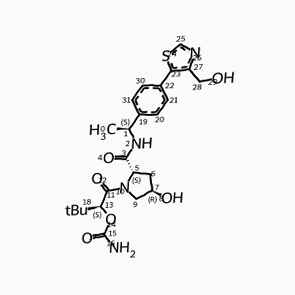 C[C@H](NC(=O)[C@@H]1C[C@@H](O)CN1C(=O)[C@@H](OC(N)=O)C(C)(C)C)c1ccc(-c2scnc2CO)cc1